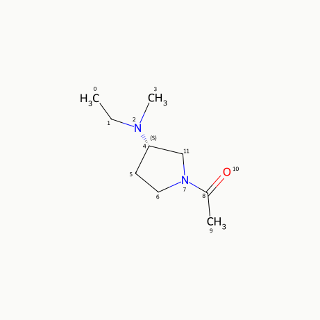 CCN(C)[C@H]1CCN(C(C)=O)C1